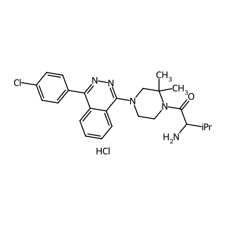 CC(C)C(N)C(=O)N1CCN(c2nnc(-c3ccc(Cl)cc3)c3ccccc23)CC1(C)C.Cl